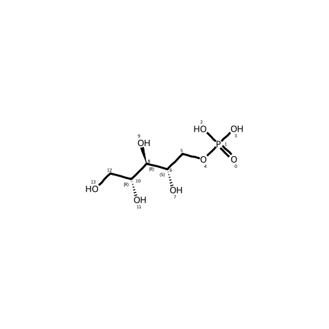 O=P(O)(O)OC[C@H](O)[C@H](O)[C@H](O)CO